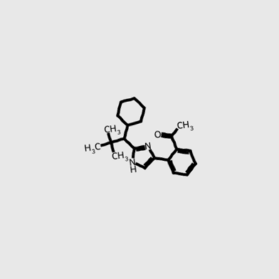 CC(=O)c1ccccc1-c1c[nH]c(C(C2CCCCC2)C(C)(C)C)n1